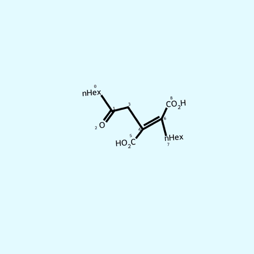 CCCCCCC(=O)C/C(C(=O)O)=C(/CCCCCC)C(=O)O